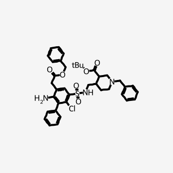 CC(C)(C)OC(=O)C1CN(Cc2ccccc2)CCC1CNS(=O)(=O)c1cc(CC(=O)OCc2ccccc2)c(N)c(-c2ccccc2)c1Cl